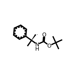 [CH2][C@](C)(NC(=O)OC(C)(C)C)c1ccccc1